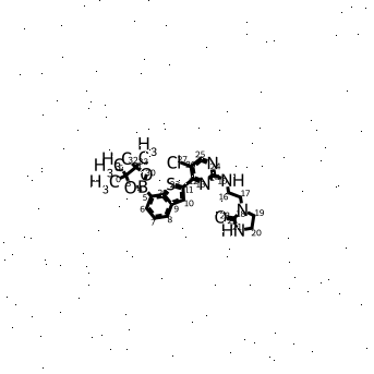 CC1(C)OB(c2cccc3cc(-c4nc(NCCN5CCNC5=O)ncc4Cl)sc23)OC1(C)C